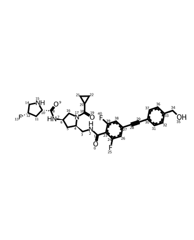 O=C(NC[C@H]1C[C@@H](NC(=O)[C@@H]2C[C@H](F)CN2)CN1C(=O)C1CC1)c1c(F)cc(C#Cc2ccc(CO)cc2)cc1F